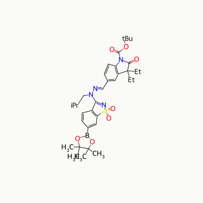 CCC1(CC)C(=O)N(C(=O)OC(C)(C)C)c2ccc(/C=N/N(CC(C)C)C3=NS(=O)(=O)c4cc(B5OC(C)(C)C(C)(C)O5)ccc43)cc21